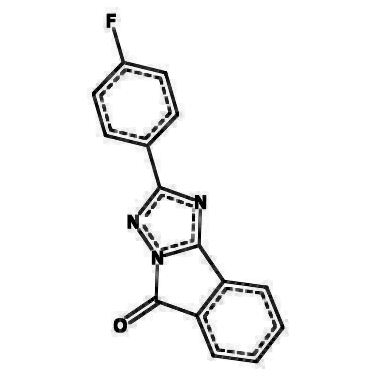 O=C1c2ccccc2-c2nc(-c3ccc(F)cc3)nn21